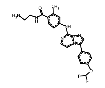 Cc1cc(Nc2nccn3c(-c4ccc(OC(F)F)cc4)cnc23)ccc1C(=O)NCCN